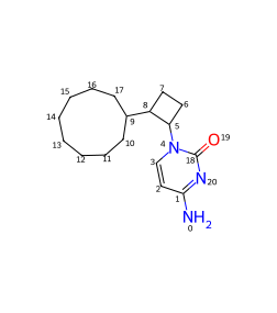 Nc1ccn(C2CCC2C2CCCCCCCC2)c(=O)n1